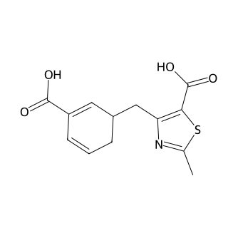 Cc1nc(CC2C=C(C(=O)O)C=CC2)c(C(=O)O)s1